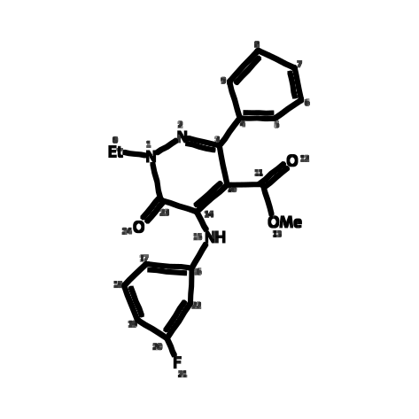 CCn1nc(-c2ccccc2)c(C(=O)OC)c(Nc2cccc(F)c2)c1=O